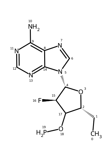 CC[C@H]1O[C@@H](n2cnc3c(N)ncnc32)[C@H](F)C1OP